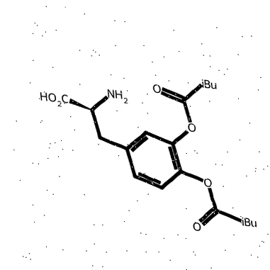 CCC(C)C(=O)Oc1ccc(C[C@H](N)C(=O)O)cc1OC(=O)C(C)CC